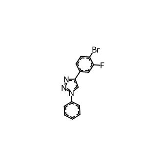 Fc1cc(-c2cn(-c3ccccc3)nn2)ccc1Br